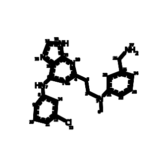 CN(CCc1nc(Nc2cccc(Cl)c2)c2nc[nH]c2n1)c1cccc(CN)c1